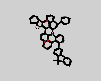 CC1(C)c2ccccc2-c2cc(-c3cccc(N(c4cc(-c5ccccc5)c5ccccc5c4)c4ccccc4-c4cccc5c4oc4ccccc45)c3-c3ccccc3)ccc21